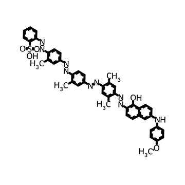 COc1ccc(Nc2ccc3c(O)c(N=Nc4cc(C)c(N=Nc5ccc(N=Nc6ccc(N=Nc7ccccc7S(=O)(=O)O)c(C)c6)c(C)c5)cc4C)ccc3c2)cc1